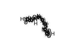 C[C@@H]1CNC(=O)c2cc3ccc(C(=O)Nc4cnn(Cc5ccc(N6CCN(Cc7cncc(N8CCC(=O)NC8=O)c7)CC6)cc5)c4)nc3n21